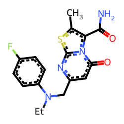 CCN(Cc1cc(=O)n2c(C(N)=O)c(C)sc2n1)c1ccc(F)cc1